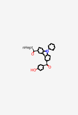 CCCCCCCC(=O)c1ccc2c(c1)c1cc(C(=O)c3ccc(O)cc3)ccc1n2-c1ccccc1